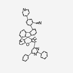 N#Cc1cc(-c2ccncc2)ccc1-c1cccc2c1-c1ccccc1C21c2ccccc2Oc2c(-c3cc(-c4ccccc4)nc(-c4ccccc4)n3)cccc21